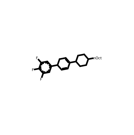 CCCCCCCCC1CCC(C2=CCC(c3cc(F)c(F)c(F)c3)C=C2)CC1